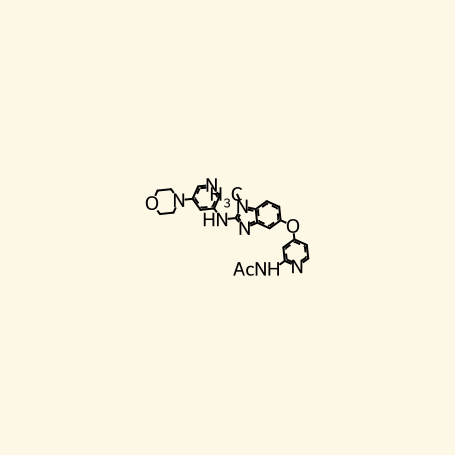 CC(=O)Nc1cc(Oc2ccc3c(c2)nc(Nc2cncc(N4CCOCC4)c2)n3C)ccn1